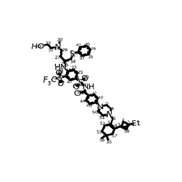 CCC12CC(C3=C(CN4CCN(c5ccc(C(=O)NS(=O)(=O)c6ccc(NC(CCN(C)CCO)CSc7ccccc7)c(S(=O)(=O)C(F)(F)F)c6)cc5)CC4)CCC(C)(C)C3)(C1)C2